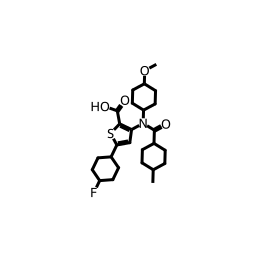 COC1CCC(N(C(=O)C2CCC(C)CC2)c2cc(C3CCC(F)CC3)sc2C(=O)O)CC1